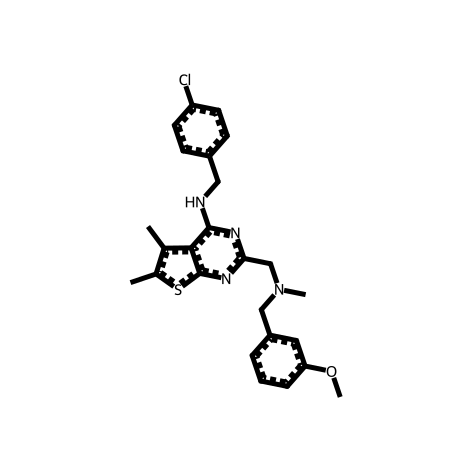 COc1cccc(CN(C)Cc2nc(NCc3ccc(Cl)cc3)c3c(C)c(C)sc3n2)c1